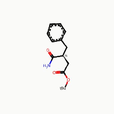 CC(C)(C)OC(=O)C[C@H](Cc1ccccc1)C(N)=O